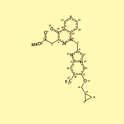 COC(=O)Cc1nn(Cc2cn3cc(OCC4CC4)c(C(F)(F)F)cc3n2)c2ccccc2c1=O